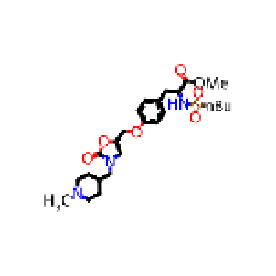 CCCCS(=O)(=O)NC(Cc1ccc(OCC2CN(CC3CCN(C)CC3)C(=O)O2)cc1)C(=O)OC